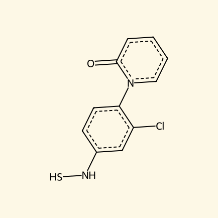 O=c1ccccn1-c1ccc(NS)cc1Cl